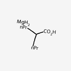 CCCC(CCC)C(=O)O.[MgH2]